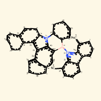 N#Cc1cccc2c3cccc(C#N)c3n(B3c4ccccc4-n4c5ccc6ccccc6c5c5c6ccccc6cc3c54)c12